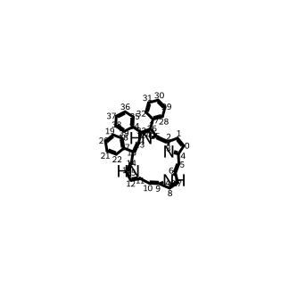 C1=Cc2nc1cc1ccc(cc3ccc([nH]3)c(-c3ccccc3)c3[nH]c2c(-c2ccccc2)c3-c2ccccc2)[nH]1